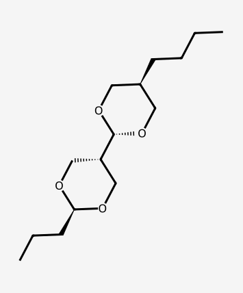 CCCC[C@H]1CO[C@H]([C@H]2CO[C@H](CCC)OC2)OC1